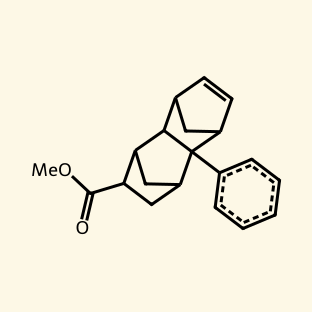 COC(=O)C1CC2CC1C1C3C=CC(C3)C21c1ccccc1